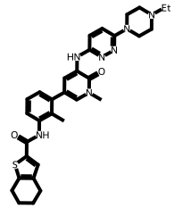 CCN1CCN(c2ccc(Nc3cc(-c4cccc(NC(=O)c5cc6c(s5)CCCC6)c4C)cn(C)c3=O)nn2)CC1